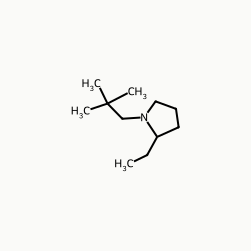 CCC1CCCN1CC(C)(C)C